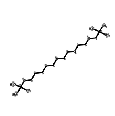 CC(C)(C)COCCOCCOCCCCCOC(C)(C)C